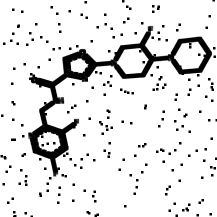 O=C(NCc1ncc(F)cc1F)c1coc(N2CCC(N3CCCCC3)C(F)C2)n1